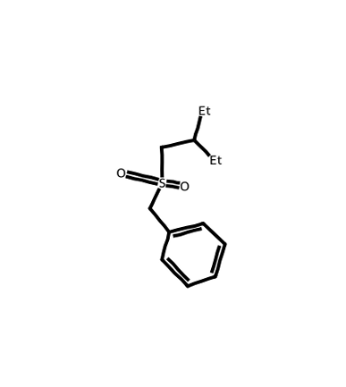 CCC(CC)CS(=O)(=O)Cc1ccccc1